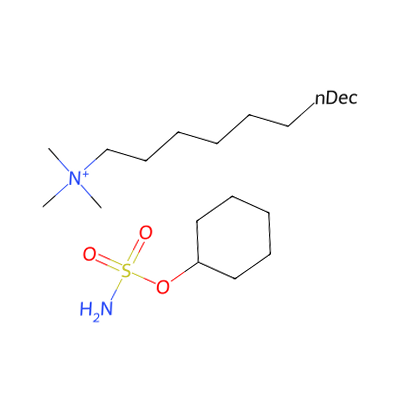 CCCCCCCCCCCCCCCC[N+](C)(C)C.NS(=O)(=O)OC1CCCCC1